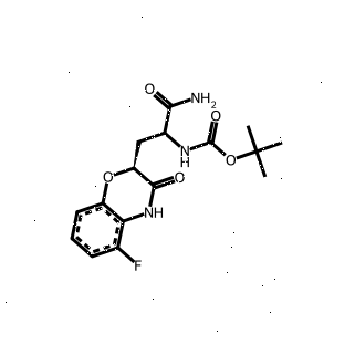 CC(C)(C)OC(=O)NC(C[C@@H]1Oc2cccc(F)c2NC1=O)C(N)=O